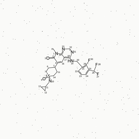 Cn1c(=O)c(C2CCS(=O)(=NC3CC3)CC2)cc2c(NCc3cccc(C(F)F)c3F)ncnc21